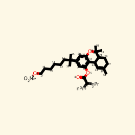 CCCC(CCC)C(=O)Oc1cc(C(C)(C)CCCCCCO[N+](=O)[O-])cc2c1C1C=C(C)CCC1C(C)(C)O2